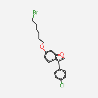 Clc1ccc(-c2coc3cc(OCCCCCCBr)ccc23)cc1